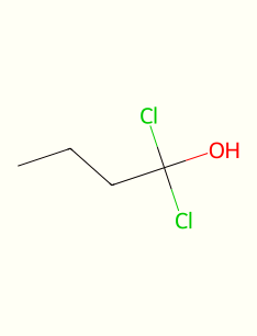 CCCC(O)(Cl)Cl